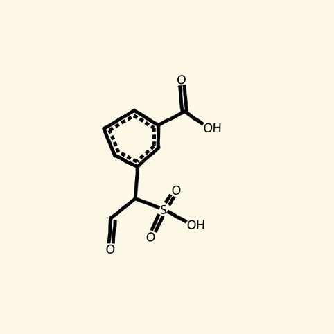 O=[C]C(c1cccc(C(=O)O)c1)S(=O)(=O)O